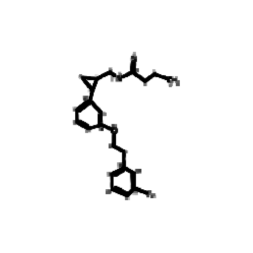 CCCC(=O)NCC1CC1c1cccc(OCCc2cccc(F)c2)c1